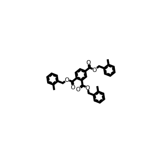 Cc1ccccc1COC(=O)c1ccc(C(=O)OCc2ccccc2C)c(C(=O)OCc2ccccc2C)c1